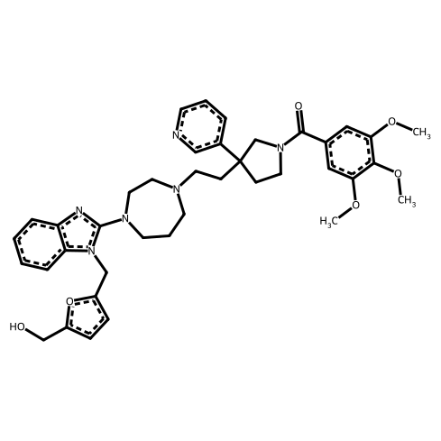 COc1cc(C(=O)N2CCC(CCN3CCCN(c4nc5ccccc5n4Cc4ccc(CO)o4)CC3)(c3cccnc3)C2)cc(OC)c1OC